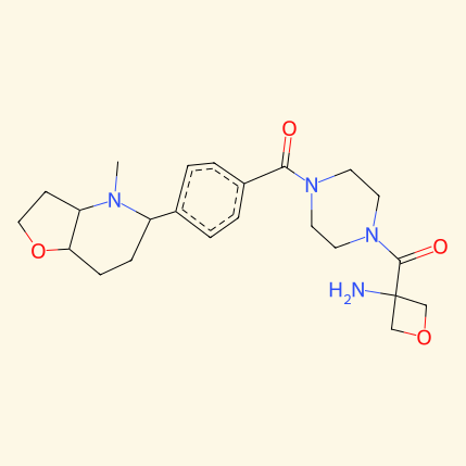 CN1C(c2ccc(C(=O)N3CCN(C(=O)C4(N)COC4)CC3)cc2)CCC2OCCC21